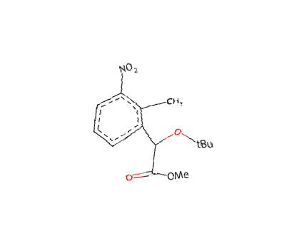 COC(=O)C(OC(C)(C)C)c1cccc([N+](=O)[O-])c1C